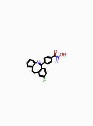 O=C(NO)c1ccc(/C2=N/c3ccccc3CCc3cc(F)ccc32)cc1